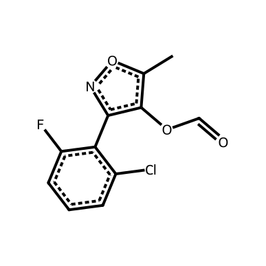 Cc1onc(-c2c(F)cccc2Cl)c1OC=O